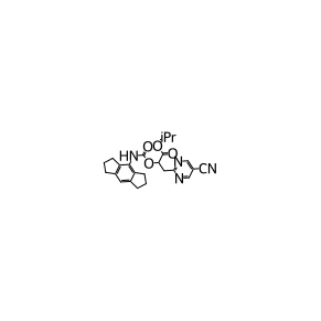 CC(C)OC(=O)C(Cc1ncc(C#N)cn1)OC(=O)Nc1c2c(cc3c1CCC3)CCC2